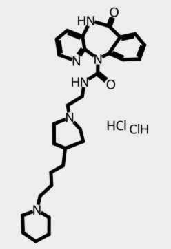 Cl.Cl.O=C1Nc2cccnc2N(C(=O)NCCN2CCC(CCCCN3CCCCC3)CC2)c2ccccc21